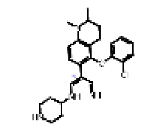 CC1CCc2c(ccc(/C(C=N)=C/NC3CCNCC3)c2Oc2ccccc2Cl)N1C